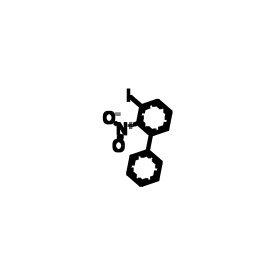 O=[N+]([O-])c1c(I)cccc1-c1ccccc1